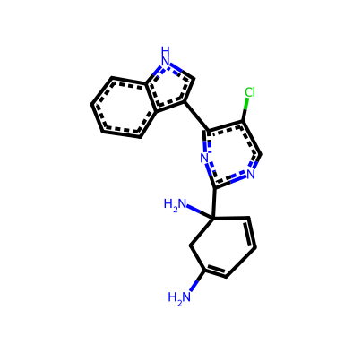 NC1=CC=CC(N)(c2ncc(Cl)c(-c3c[nH]c4ccccc34)n2)C1